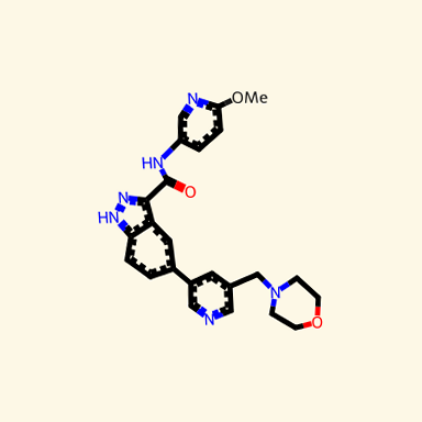 COc1ccc(NC(=O)c2n[nH]c3ccc(-c4cncc(CN5CCOCC5)c4)cc23)cn1